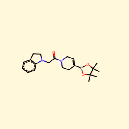 CC1(C)OB(C2=CCN(C(=O)CN3CCc4ccccc43)CC2)OC1(C)C